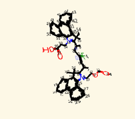 C/C(=C\C(F)=C\C(C)C1N(CCOC=O)c2c(c3ccccc3c3ccccc23)C1(C)C)C1=[N+](CCC(=O)O)c2c(c3ccccc3c3ccccc23)C1(C)C